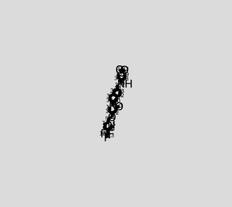 O=c1cc(OCc2ccc(C(F)(F)F)cn2)ccn1C1=Cc2ccc(CNC3CCS(=O)(=O)CC3)cc2CC1